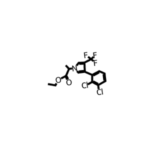 CCOC(=O)C(C)n1cc(-c2cccc(Cl)c2Cl)c(C(F)(F)F)c1